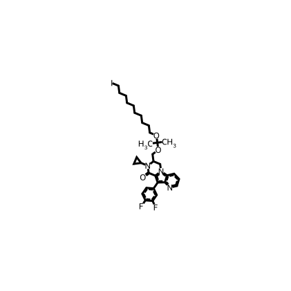 CC(C)(OCCCCCCCCCCI)OCC1Cn2c(c(-c3ccc(F)c(F)c3)c3ncccc32)C(=O)N1C1CC1